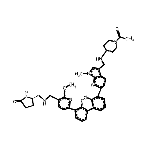 COc1nc(-c2cccc(-c3cccc(-c4ccc5c(CNC6CCN(C(C)=O)CC6)cn(C)c5n4)c3Cl)c2Cl)ccc1CNC[C@@H]1CCC(=O)N1